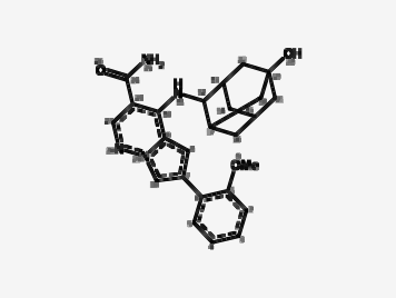 COc1ccccc1-c1cc2c(NC3C4CC5CC3CC(O)(C5)C4)c(C(N)=O)cnn2c1